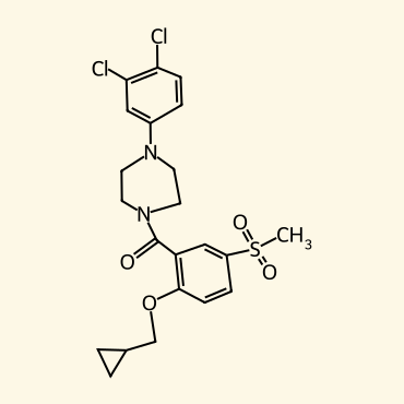 CS(=O)(=O)c1ccc(OCC2CC2)c(C(=O)N2CCN(c3ccc(Cl)c(Cl)c3)CC2)c1